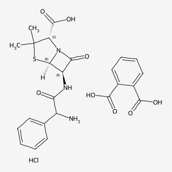 CC1(C)S[C@@H]2[C@H](NC(=O)C(N)c3ccccc3)C(=O)N2[C@H]1C(=O)O.Cl.O=C(O)c1ccccc1C(=O)O